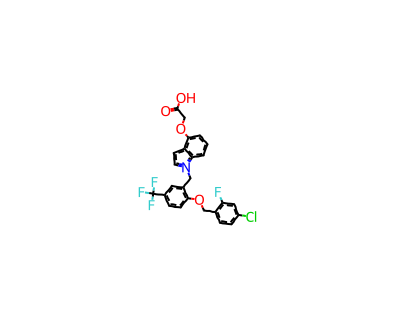 O=C(O)COc1cccc2c1ccn2Cc1cc(C(F)(F)F)ccc1OCc1ccc(Cl)cc1F